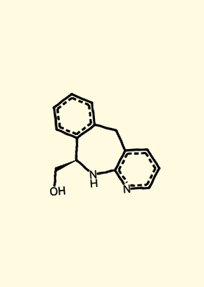 OC[C@@H]1Nc2ncccc2Cc2ccccc21